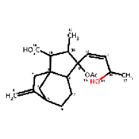 C=C1CC23CC1CCC2C(/C=C\C(C)O)(OC(C)=O)C(C)C3C(=O)O